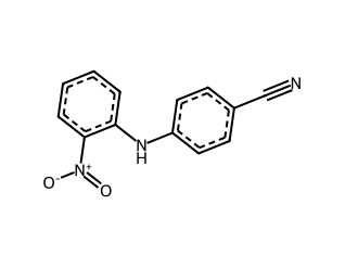 N#Cc1ccc(Nc2ccccc2[N+](=O)[O-])cc1